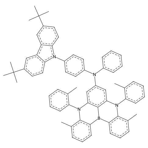 Cc1ccccc1N1c2cc(N(c3ccccc3)c3ccc(-n4c5ccc(C(C)(C)C)cc5c5cc(C(C)(C)C)ccc54)cc3)cc3c2B(c2cccc(C)c21)c1cccc(C)c1N3c1ccccc1C